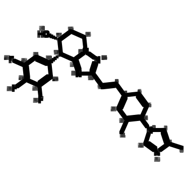 Cc1cn(-c2ccc(/C=C/c3nc4n(n3)CC[C@@H](O)[C@H]4c3cc(F)c(F)c(F)c3)cc2C)cn1